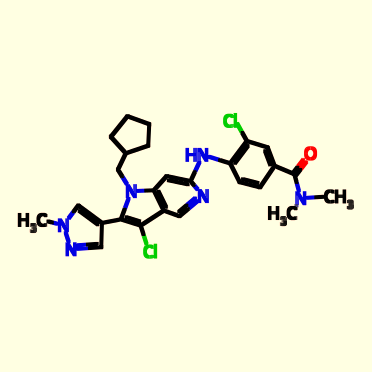 CN(C)C(=O)c1ccc(Nc2cc3c(cn2)c(Cl)c(-c2cnn(C)c2)n3CC2CCCC2)c(Cl)c1